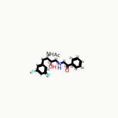 CC(=O)N[C@@H](Cc1cc(F)cc(F)c1)[C@H](O)CNCC(=O)c1ccccc1